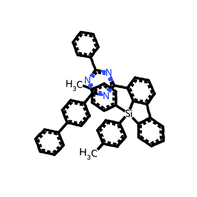 Cc1ccc([Si]2(c3ccc(C)cc3)c3ccccc3-c3cccc(-c4nc(-c5ccccc5)nc(-c5ccc(-c6ccccc6)cc5)n4)c32)cc1